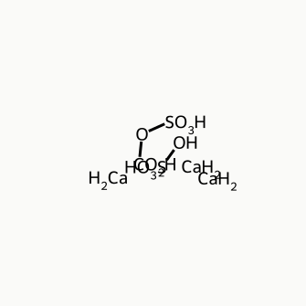 O=C(O)OS(=O)(=O)O.O=S(=O)(O)O.[CaH2].[CaH2].[CaH2]